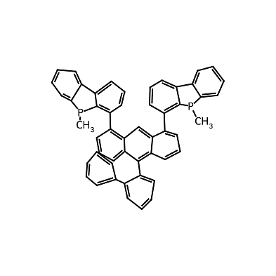 Cp1c2ccccc2c2cccc(-c3cccc4c(-c5ccccc5-c5ccccc5)c5cccc(-c6cccc7c8ccccc8p(C)c67)c5cc34)c21